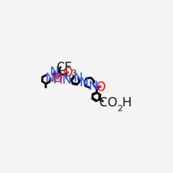 CC1CCCN(c2nc(C(F)(F)F)c(C(=O)Nc3ccc(N4CCCN(C(=O)c5cccc(C(=O)O)c5)CC4)nc3)o2)C1